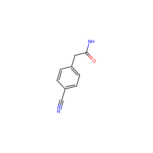 N#Cc1ccc(CC([NH])=O)cc1